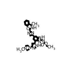 CCOC(=O)Nc1nc2cc(C3C=NC(C(=O)N[C@@H](C)c4ccccc4)=N3)cc(-c3cc(N4CCN(C)CC4)ncn3)c2[nH]1